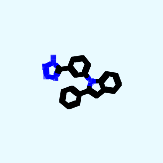 c1ccc(-c2cc3ccccc3n2-c2cccc(-c3nnn[nH]3)c2)cc1